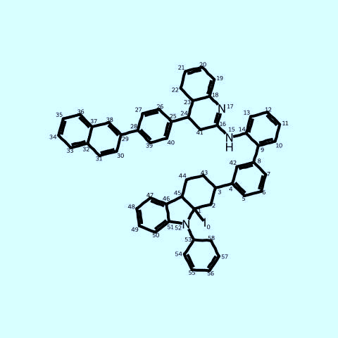 IC12CC(c3cccc(-c4ccccc4NC4=NC5=CC=CCC5C(c5ccc(-c6ccc7ccccc7c6)cc5)C4)c3)CCC1c1ccccc1N2C1C=CC=CC1